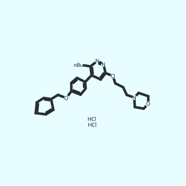 CCCCc1nnc(OCCCN2CCOCC2)cc1-c1ccc(OCc2ccccc2)cc1.Cl.Cl